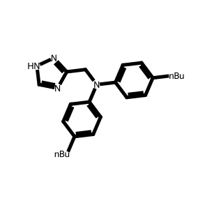 CCCCc1ccc(N(Cc2nc[nH]n2)c2ccc(CCCC)cc2)cc1